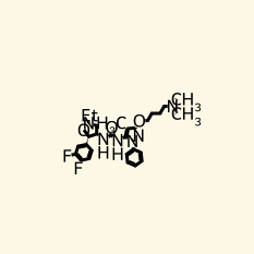 CCN1C[C@@H](NC(=O)Nc2c(C)c(OCCCCN(C)C)nn2-c2ccccc2)[C@H](c2ccc(F)c(F)c2)O1